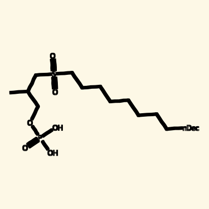 CCCCCCCCCCCCCCCCCCS(=O)(=O)CC(C)COP(=O)(O)O